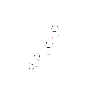 CC(NC(=O)c1ccc2c(c1)OCCN2Cc1ccc(-c2ccccc2C(=O)O)cc1)c1ccc(F)cc1